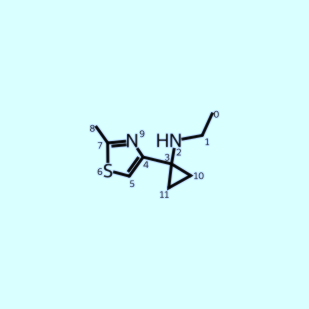 CCNC1(c2csc(C)n2)CC1